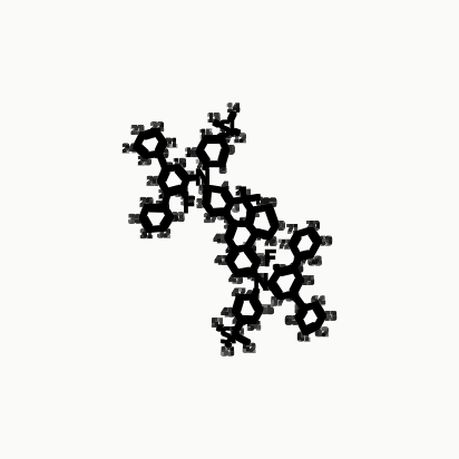 CC1(C)c2cc(N(c3ccc([Si](C)(C)C)cc3)c3cc(-c4ccccc4)cc(-c4ccccc4)c3F)ccc2-c2cc3ccc(N(c4ccc([Si](C)(C)C)cc4)c4cc(-c5ccccc5)cc(-c5ccccc5)c4F)cc3c3cccc1c23